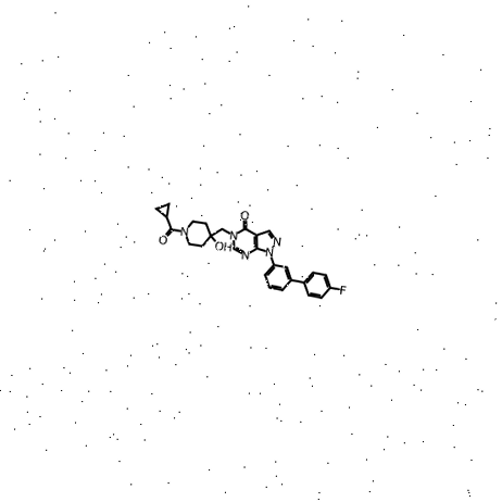 O=C(C1CC1)N1CCC(O)(Cn2cnc3c(cnn3-c3cccc(-c4ccc(F)cc4)c3)c2=O)CC1